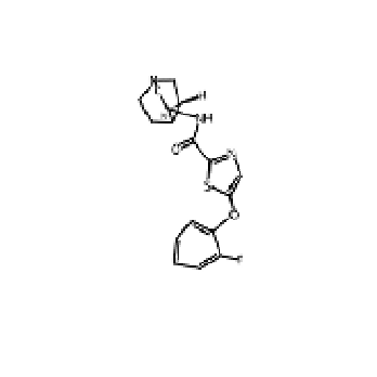 O=C(N[C@H]1CN2CCC1CC2)c1ncc(Oc2ccccc2F)s1